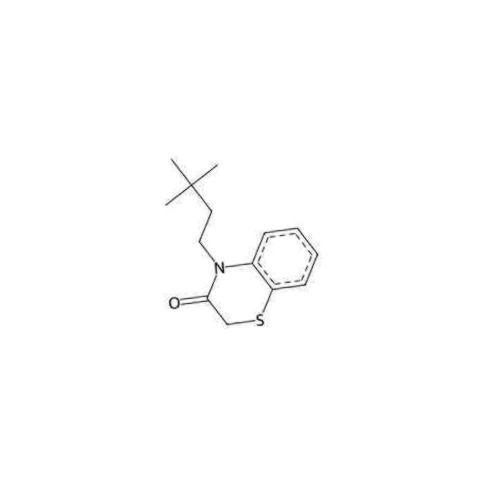 CC(C)(C)CCN1C(=O)CSc2ccccc21